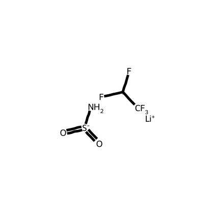 F[C](F)C(F)(F)F.N[S-](=O)=O.[Li+]